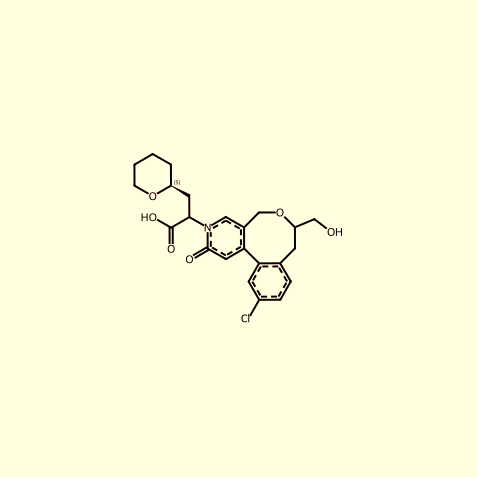 O=C(O)C(C[C@@H]1CCCCO1)n1cc2c(cc1=O)-c1cc(Cl)ccc1CC(CO)OC2